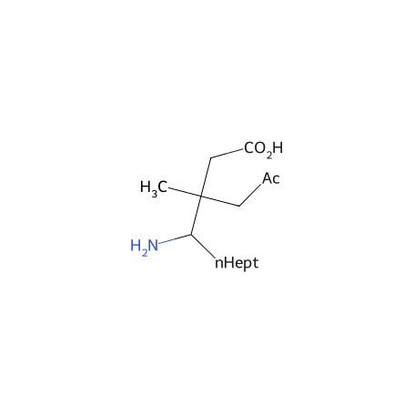 CCCCCCCC(N)C(C)(CC(C)=O)CC(=O)O